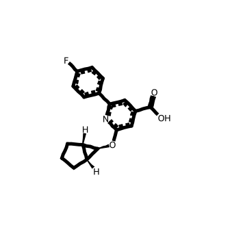 O=C(O)c1cc(O[C@H]2[C@@H]3CCC[C@@H]32)nc(-c2ccc(F)cc2)c1